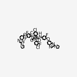 O=C(Nc1ccc(Oc2ccc3ncc(N4CCCC4)nc3c2)c(F)c1)N(c1ccc(Cl)c(F)c1)N(C(=O)Nc1ccc(Oc2ccc3ncc(N4CCCC4)nc3c2)c(F)c1)c1ccc(Cl)c(C(F)(F)F)c1